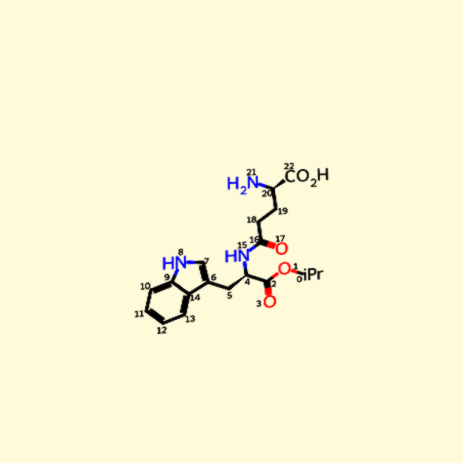 CC(C)OC(=O)[C@@H](Cc1c[nH]c2ccccc12)NC(=O)CC[C@@H](N)C(=O)O